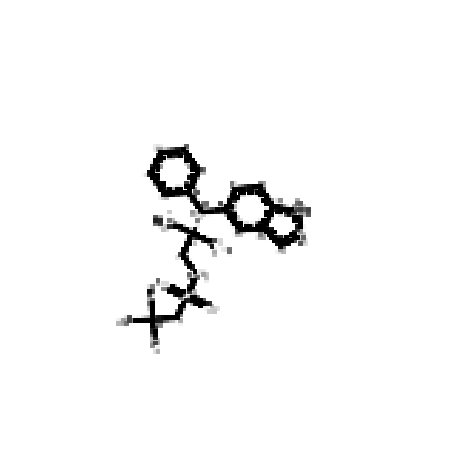 CC(C)(CNS(=O)(=O)CC(F)(F)F)[C@H](c1ccccc1)c1ccc2[nH]ncc2c1